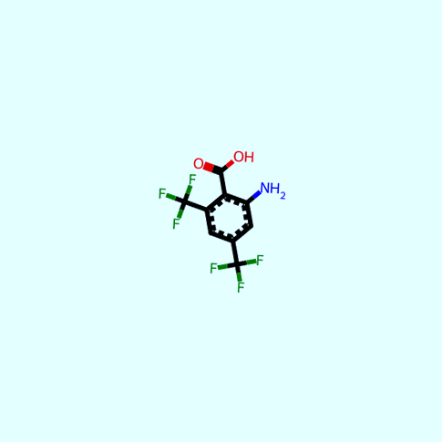 Nc1cc(C(F)(F)F)cc(C(F)(F)F)c1C(=O)O